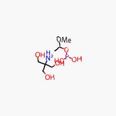 COC(C)OP(O)O.NC(CO)(CO)CO